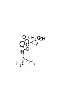 CCN(CC)CCNC(=O)c1cccc2c(=O)c(C)c(-c3cccc(OC)c3)oc12